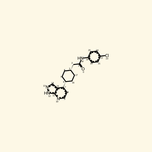 O=C(C[C@H]1CC[C@@H](c2ccnc3[nH]ncc32)CC1)Nc1ccc(Cl)cc1